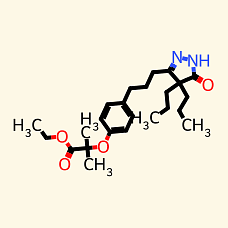 CCCC1(CCC)C(=O)NN=C1CCCc1ccc(OC(C)(C)C(=O)OCC)cc1